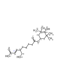 CC1(C)CC(OC(=O)CCCCC(/C=C/C(=O)O)CO)CC(C)(C)N1O